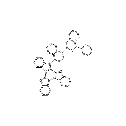 c1ccc(-c2nc(-c3ccc(-n4c5ccccc5c5c6oc7ccccc7c6c6c7ccccc7oc6c54)c4ccccc34)nc3ccccc23)cc1